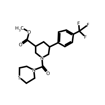 COC(=O)C1CC(c2ccc(C(F)(F)F)cc2)CN(C(=O)N2CCSCC2)C1